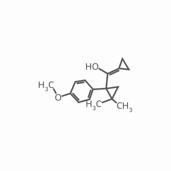 COc1ccc(C2(C(O)=C3CC3)CC2(C)C)cc1